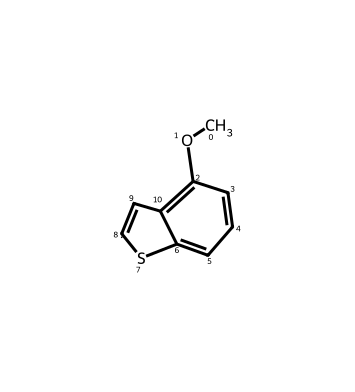 COc1cccc2s[c]cc12